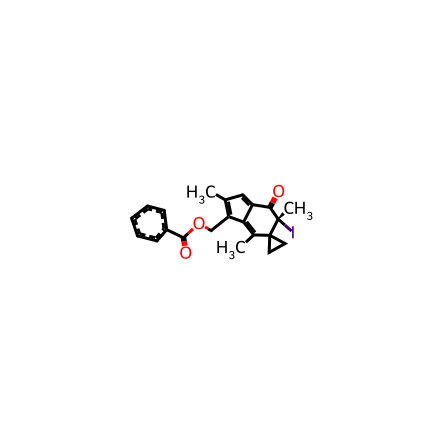 CC1=C(COC(=O)c2ccccc2)C2=C(C)C3(CC3)[C@@](C)(I)C(=O)C2=C1